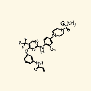 C=CC(=O)Nc1cccc(Oc2nc(Nc3ccc(N4CCN(S(N)(=O)=O)CC4)cc3OC)ncc2C(F)(F)F)c1